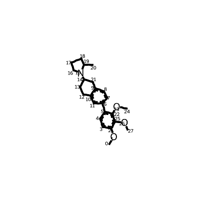 COc1ccc(-c2ccc3c(c2)CCC(N2CCCC2C)C3)c(OC)c1OC